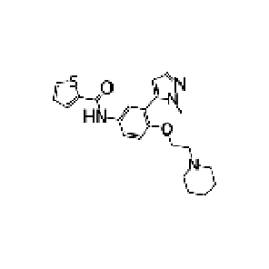 Cn1nccc1-c1cc(NC(=O)c2cccs2)ccc1OCCN1CCCCC1